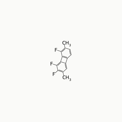 Cc1cc2c(c(F)c1F)-c1c-2ccc(C)c1F